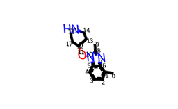 Cc1cccc2c1nc(C)n2OC1CCNCC1